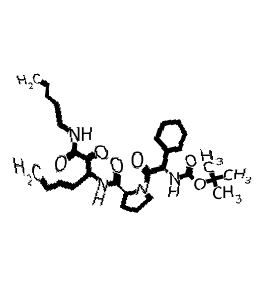 C=CCCCNC(=O)C(=O)C(CCC=C)NC(=O)[C@@H]1CCCN1C(=O)[C@@H](NC(=O)OC(C)(C)C)C1CCCCC1